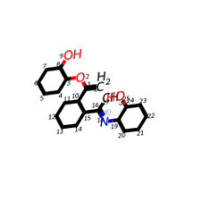 C=C(OC1CCCCC1O)C1CCCCC1/C(C)=N/C1CCCCC1O